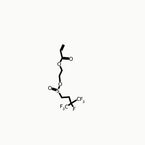 C=CC(=O)OCCOS(=O)CCC(F)(C(F)(F)F)C(F)(F)F